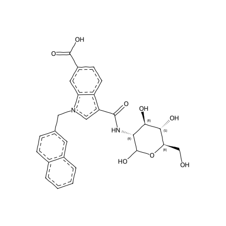 O=C(O)c1ccc2c(C(=O)N[C@H]3C(O)O[C@H](CO)[C@@H](O)[C@@H]3O)cn(Cc3ccc4ccccc4c3)c2c1